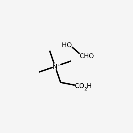 C[N+](C)(C)CC(=O)O.O=CO